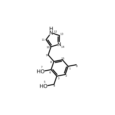 Cc1cc(CO)c(O)c(Cc2c[nH]cn2)c1